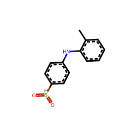 Cc1ccccc1Nc1ccc([SH](=O)=O)cc1